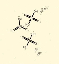 O=S(=O)(O)O.O=S(=O)(O)O.O=[N+]([O-])O.[Al+3].[Al+3].[Al+3].[Al+3]